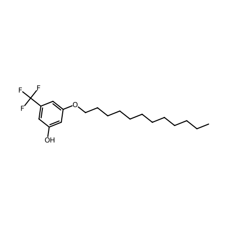 CCCCCCCCCCCCOc1cc(O)cc(C(F)(F)F)c1